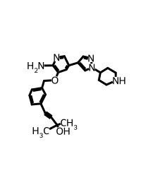 CC(C)(O)C#Cc1cccc(COc2cc(-c3cnn(C4CCNCC4)c3)cnc2N)c1